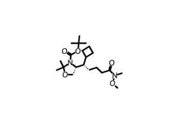 CON(C)C(=O)CCC[C@@H](C1CCC1)[C@@H]1COC(C)(C)N1C(=O)OC(C)(C)C